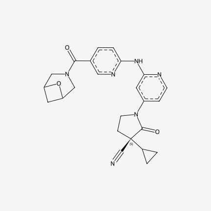 N#C[C@@]1(C2CC2)CCN(c2ccnc(Nc3ccc(C(=O)N4CC5CC(C4)O5)cn3)c2)C1=O